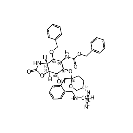 [N-]=[N+]=N[C@H]1CC[C@@](Cc2ccccc2CNC(=O)O)(O[C@H]2[C@H](O)[C@H]3OC(=O)N[C@@H]3[C@@H](OCc3ccccc3)[C@H]2NC(=O)OCc2ccccc2)OC1